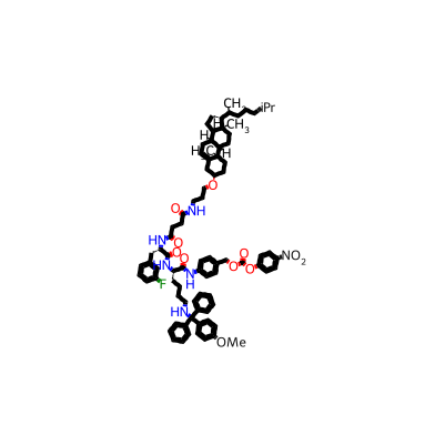 COc1ccc(C(NCCCC[C@H](NC(=O)[C@H](Cc2cccc(F)c2)NC(=O)CCC(=O)NCCCO[C@H]2CC[C@@]3(C)C(=CC[C@H]4[C@@H]5CC[C@H]([C@H](C)CCCC(C)C)[C@@]5(C)CC[C@@H]43)C2)C(=O)Nc2ccc(COC(=O)Oc3ccc([N+](=O)[O-])cc3)cc2)(c2ccccc2)c2ccccc2)cc1